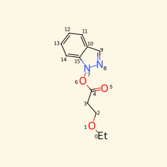 CCOCCC(=O)On1ncc2ccccc21